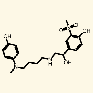 CN(CCCCNCC(O)c1ccc(O)c(S(C)(=O)=O)c1)c1ccc(O)cc1